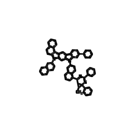 CC1C2C(c3cccc4cc(-n5c6cc(-c7ccccc7)ccc6c6cc7c8c9ccccc9ccc8n(-c8ccc9ccccc9c8)c7cc65)ccc34)=NC(c3ccccc3)=NC12c1ccccc1